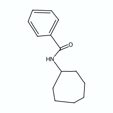 O=C(NC1CCCCCC1)c1ccccc1